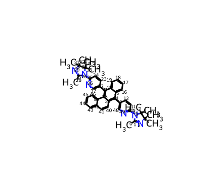 CC1=NC(C)(C)C(C)(C)N1c1ccc(-c2c3ccccc3c(-c3ccc(N4C(C)=NC(C)(C)C4(C)C)nc3)c3c2ccc2ccccc23)cn1